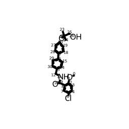 COc1ccc(Cl)cc1C(=O)NCc1ccc(-c2ccc(OC(C)(C)CO)cc2)cc1